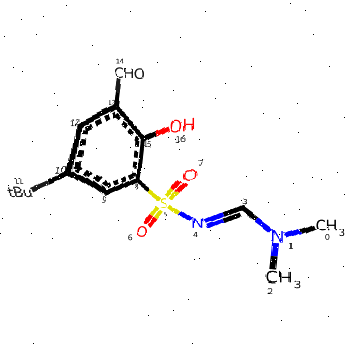 CN(C)C=NS(=O)(=O)c1cc(C(C)(C)C)cc(C=O)c1O